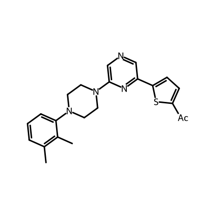 CC(=O)c1ccc(-c2cncc(N3CCN(c4cccc(C)c4C)CC3)n2)s1